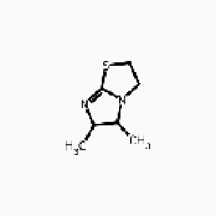 CC1N=C2SCCN2C1C